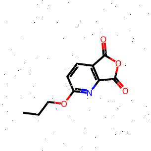 CCCOc1ccc2c(n1)C(=O)OC2=O